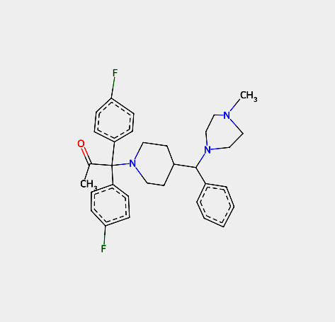 CC(=O)C(c1ccc(F)cc1)(c1ccc(F)cc1)N1CCC(C(c2ccccc2)N2CCN(C)CC2)CC1